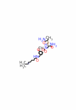 CCC(SSC(CNC(=O)Oc1ccc(CNC(=O)CCCC/C=C/C(C)C)cc1OC)C(N)=O)C(N)=O